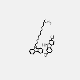 CCCCCCCCCCCCn1c2ccccc2c2ccccc21.Clc1ccc2c(c1)[nH]c1cc(Cl)ccc12